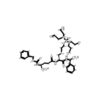 O=C(CC[C@H](NC(=O)OCc1ccccc1)C(=O)O)N[C@@H](CSCCOP(=O)(N(CCCl)CCCl)N(CCCl)CCCl)C(=O)NC(C(=O)O)c1ccccc1